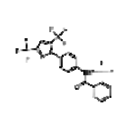 O=C(Nc1ccc(-n2nc(C(F)(F)F)cc2C(F)(F)F)cc1)c1ccccc1C(F)(F)F